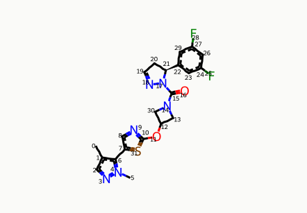 Cc1cnn(C)c1-c1cnc(OC2CN(C(=O)N3N=CC[C@H]3c3cc(F)cc(F)c3)C2)s1